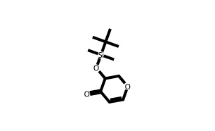 CC(C)(C)[Si](C)(C)OC1COC=CC1=O